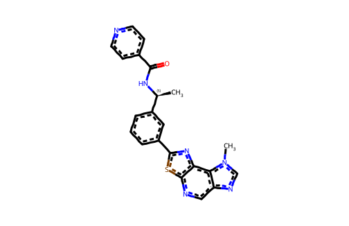 C[C@H](NC(=O)c1ccncc1)c1cccc(-c2nc3c(ncc4ncn(C)c43)s2)c1